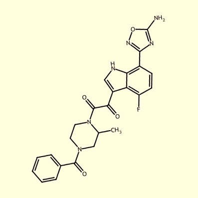 CC1CN(C(=O)c2ccccc2)CCN1C(=O)C(=O)c1c[nH]c2c(-c3noc(N)n3)ccc(F)c12